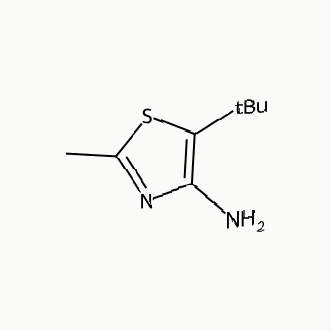 Cc1nc(N)c(C(C)(C)C)s1